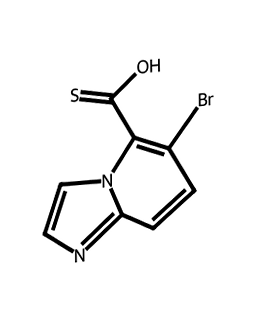 OC(=S)c1c(Br)ccc2nccn12